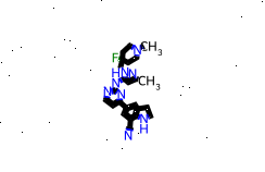 Cc1cc(Nc2nccc(-c3cc(C#N)c4c(c3)CCN4)n2)n(CC2(F)CCN(C)CC2)n1